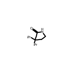 CC(C)C1(C(C)C)CCNC1=O